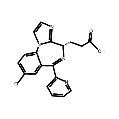 O=C(O)CC[C@@H]1N=C(c2ccccn2)c2cc(Cl)ccc2-n2ccnc21